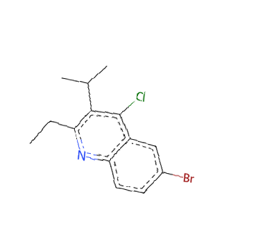 CCc1nc2ccc(Br)cc2c(Cl)c1C(C)C